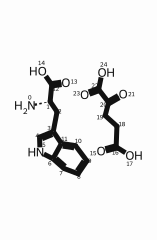 N[C@@H](Cc1c[nH]c2ccccc12)C(=O)O.O=C(O)CCC(=O)C(=O)O